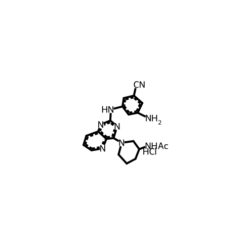 CC(=O)NC1CCCN(c2nc(Nc3cc(N)cc(C#N)c3)nc3cccnc23)C1.Cl